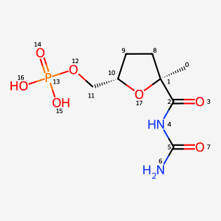 C[C@@]1(C(=O)NC(N)=O)CC[C@@H](COP(=O)(O)O)O1